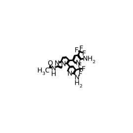 CC(=O)Nc1cn2c(-c3cnc(N)c(C(F)(F)F)c3)c(-c3cnc(N)c(C(F)(F)F)c3)ccc2n1